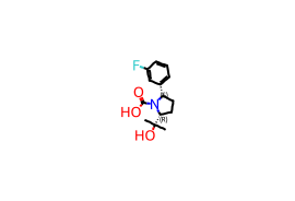 CC(C)(O)[C@H]1CC[C@@H](c2cccc(F)c2)N1C(=O)O